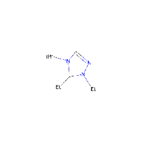 CCC1N(CC)N=CN1C(C)C